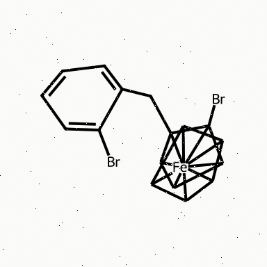 Brc1ccccc1C[C]12[CH]3[CH]4[CH]5[C]1(Br)[Fe]45321678[CH]2[CH]1[CH]6[CH]7[CH]28